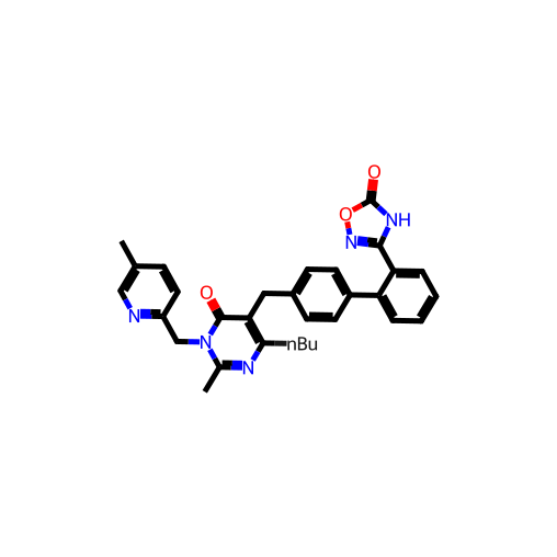 CCCCc1nc(C)n(Cc2ccc(C)cn2)c(=O)c1Cc1ccc(-c2ccccc2-c2noc(=O)[nH]2)cc1